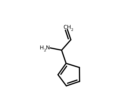 C=CC(N)C1=CC=CC1